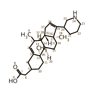 CC1C=C2CC(CC(=O)O)CC[C@]2(C)[C@@H]2CC[C@]3(C)C(C4CCCNC4)=CC[C@H]3[C@H]12